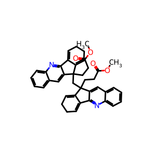 COC(=O)CCC1(CC2(CCC(=O)OC)C3=CCCC=C3c3nc4ccccc4cc32)C2=CCCC=C2c2nc3ccccc3cc21